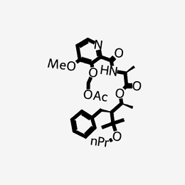 CCCOC(C)(C)[C@@H](Cc1ccccc1)[C@H](C)OC(=O)[C@H](C)NC(=O)c1nccc(OC)c1OCOC(C)=O